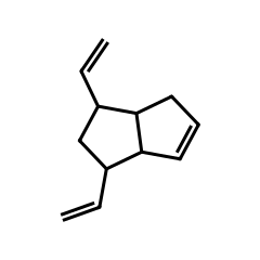 C=CC1CC(C=C)C2CC=CC12